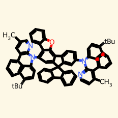 Cc1cnc(N(c2ccc(C(C)(C)C)cc2)c2cc3c(c4oc5ccccc5c24)-c2ccc(N(c4ccc(C(C)(C)C)cc4)c4nccc(C)c4-c4ccccc4)cc2C32c3ccccc3-c3ccccc32)c(-c2ccccc2)c1